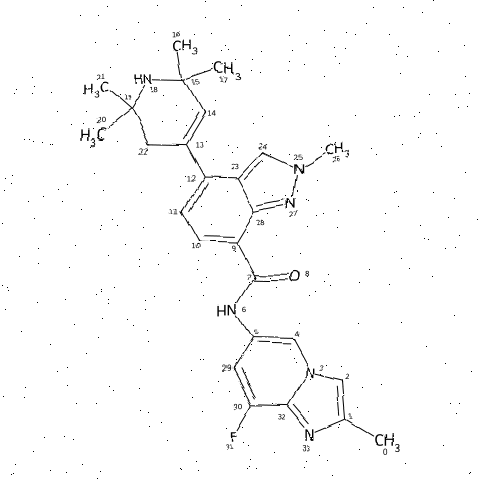 Cc1cn2cc(NC(=O)c3ccc(C4=CC(C)(C)NC(C)(C)C4)c4cn(C)nc34)cc(F)c2n1